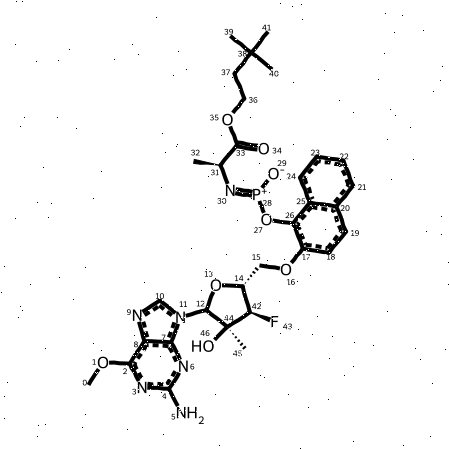 COc1nc(N)nc2c1ncn2C1O[C@H](COc2ccc3ccccc3c2O/[P+]([O-])=N/[C@@H](C)C(=O)OCCC(C)(C)C)[C@@H](F)[C@@]1(C)O